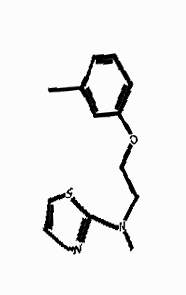 Cc1cccc(OCCN(C)c2nccs2)c1